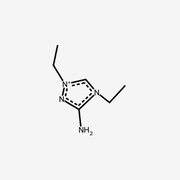 CCn1c[n+](CC)nc1N